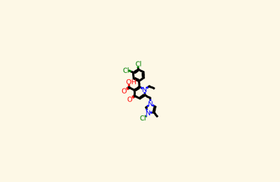 CCn1c(CN2C=C(C)N(Cl)C2)cc(=O)c(C(=O)O)c1-c1ccc(Cl)c(Cl)c1